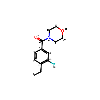 CCc1ccc(C(=O)N2CCOCC2)cc1F